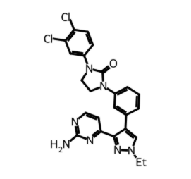 CCn1cc(-c2cccc(N3CCN(c4ccc(Cl)c(Cl)c4)C3=O)c2)c(-c2ccnc(N)n2)n1